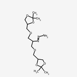 CC1(C)OCC(COCC(COCC2COC(C)(C)O2)N=NN)O1